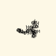 CC(C)(C)NC(=O)CC[C@H](Cc1ccccc1)[C@@H](O)C[C@H](CC(=O)N[C@H]1c2ccccc2C[C@H]1O)Cc1ccc(OCCN2CCOCC2)cc1